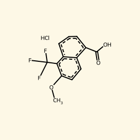 COc1ccc2c(C(=O)O)cccc2c1C(F)(F)F.Cl